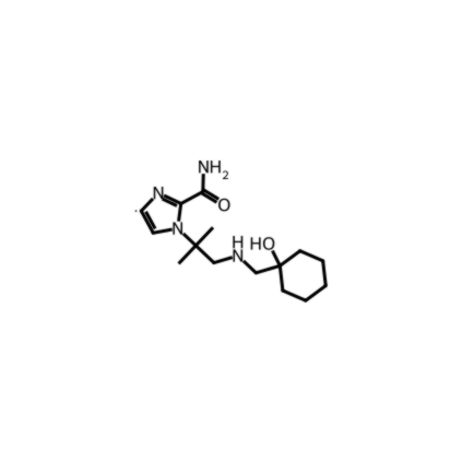 CC(C)(CNCC1(O)CCCCC1)n1c[c]nc1C(N)=O